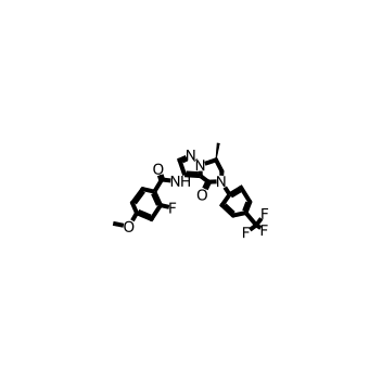 COc1ccc(C(=O)Nc2cnn3c2C(=O)N(c2ccc(C(F)(F)F)cc2)C[C@@H]3C)c(F)c1